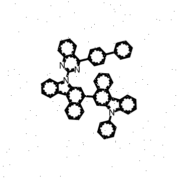 c1ccc(-c2ccc(-c3nc(-n4c5ccccc5c5c6ccccc6c(-c6cc7c(c8ccccc68)c6ccccc6n7-c6ccccc6)cc54)nc4ccccc34)cc2)cc1